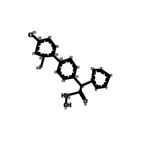 O=C(NO)C(c1ccccc1)c1ccc(-c2ccc(Cl)cc2F)cc1